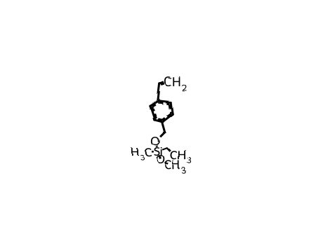 C=Cc1ccc(CO[Si](C)(CC)OC)cc1